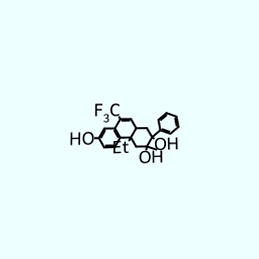 CCC12CC(C)(O)C(O)(c3ccccc3)CC1C=C(C(F)(F)F)c1cc(O)ccc12